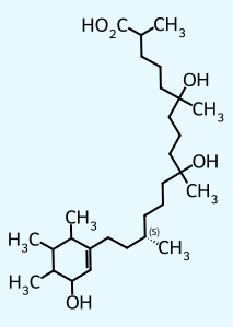 CC(CCCC(C)(O)CCCC(C)(O)CCC[C@H](C)CCC1=CC(O)C(C)C(C)C1C)C(=O)O